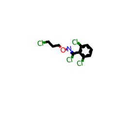 ClCCCON=C(Cl)c1c(Cl)cccc1Cl